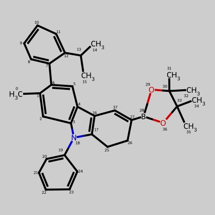 Cc1cc2c(cc1-c1ccccc1C(C)C)c1c(n2-c2ccccc2)CCC(B2OC(C)(C)C(C)(C)O2)=C1